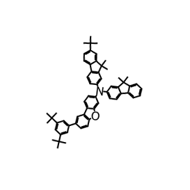 CC(C)(C)c1cc(-c2ccc3oc4cc(N(c5ccc6c(c5)C(C)(C)c5ccccc5-6)c5ccc6c(c5)C(C)(C)c5cc(C(C)(C)C)ccc5-6)ccc4c3c2)cc(C(C)(C)C)c1